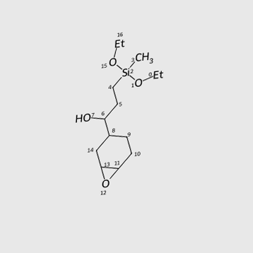 CCO[Si](C)(CCC(O)C1CCC2OC2C1)OCC